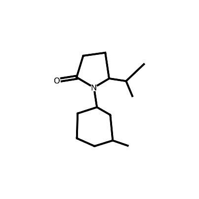 CC1CCCC(N2C(=O)CCC2C(C)C)C1